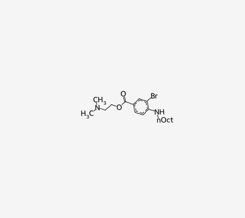 CCCCCCCCNc1ccc(C(=O)OCCN(C)C)cc1Br